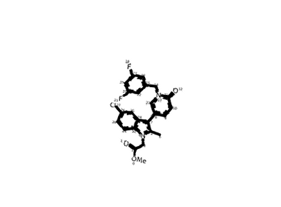 COC(=O)Cn1c(C)c(-c2ccc(=O)n(Cc3cc(F)cc(F)c3)c2)c2cc(Cl)ccc21